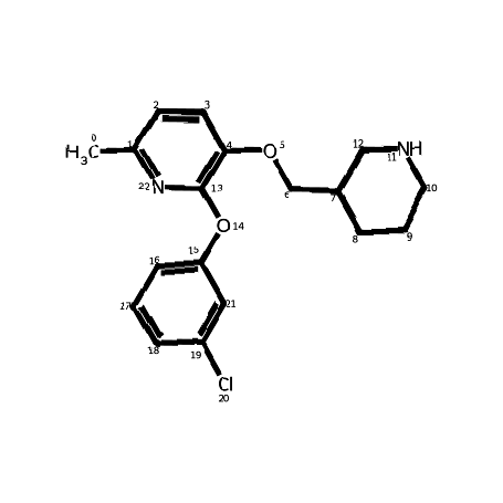 Cc1ccc(OCC2CCCNC2)c(Oc2cccc(Cl)c2)n1